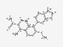 CCc1ccc2c(N)c(C(N)=O)nnc2c1-c1ccc2[nH]ncc2c1